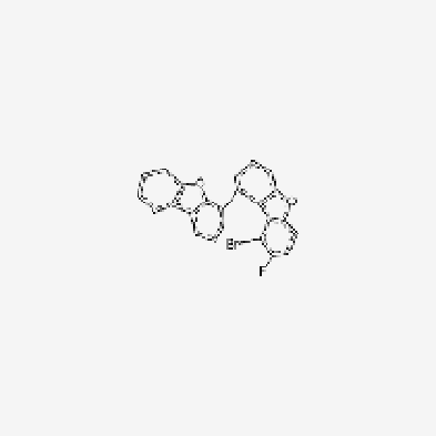 Fc1ccc2oc3cccc(-c4cccc5c4oc4ccccc45)c3c2c1Br